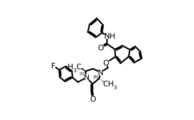 C[C@@H]1C(=C=O)N(Cc2ccc(F)cc2)[C@@H](C)CN1COc1cc2ccccc2cc1C(=O)Nc1ccccc1